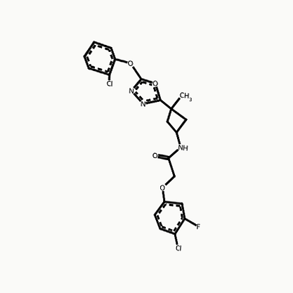 CC1(c2nnc(Oc3ccccc3Cl)o2)CC(NC(=O)COc2ccc(Cl)c(F)c2)C1